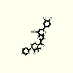 CC(C)(C)c1cc(-c2ccc(Cl)c(F)c2)nc2cc(C(=O)N3CCN(c4ncccn4)C(=O)C3(C)C)oc12